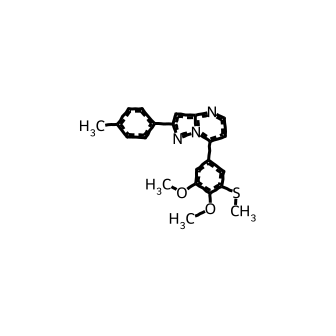 COc1cc(-c2ccnc3cc(-c4ccc(C)cc4)nn23)cc(SC)c1OC